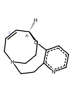 C1=C\[C@H]2CCCN(C/1)CCc1ncccc1O2